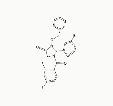 O=C(c1ccc(F)cc1F)N1CC(=O)N(OCc2ccccc2)C1c1cccc(Br)c1